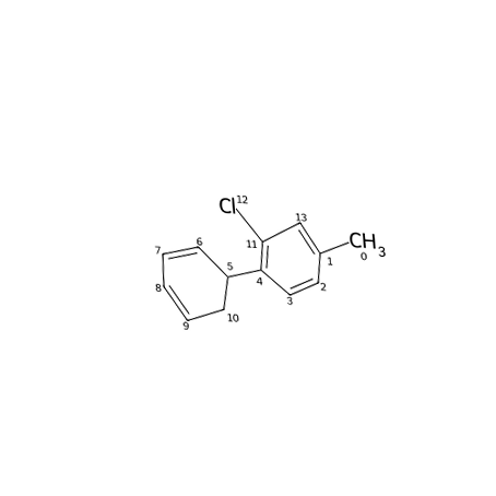 Cc1ccc(C2C=CC=CC2)c(Cl)c1